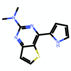 CN(C)c1nc(-c2ccc[nH]2)c2sccc2n1